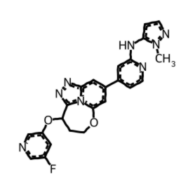 Cn1nccc1Nc1cc(-c2cc3n4c(nnc4c2)C(Oc2cncc(F)c2)CCO3)ccn1